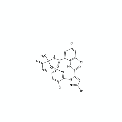 CC(C)(NC(=O)c1cc(Cl)cc(Cl)c1NC(=O)c1cc(Br)nn1-c1ncccc1Cl)C(N)=O